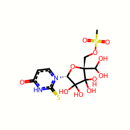 CS(=O)(=O)OC[C@]1(C(O)O)O[C@@H](n2ccc(=O)[nH]c2=S)C(O)(O)C1(O)O